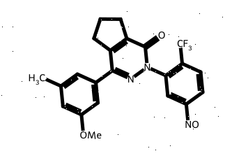 COc1cc(C)cc(-c2nn(-c3cc(N=O)ccc3C(F)(F)F)c(=O)c3c2CCC3)c1